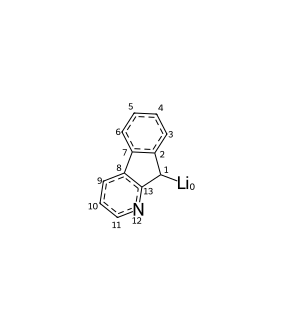 [Li][CH]1c2ccccc2-c2cccnc21